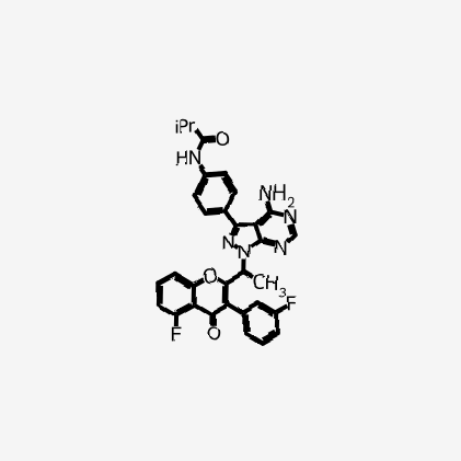 CC(C)C(=O)Nc1ccc(-c2nn(C(C)c3oc4cccc(F)c4c(=O)c3-c3cccc(F)c3)c3ncnc(N)c23)cc1